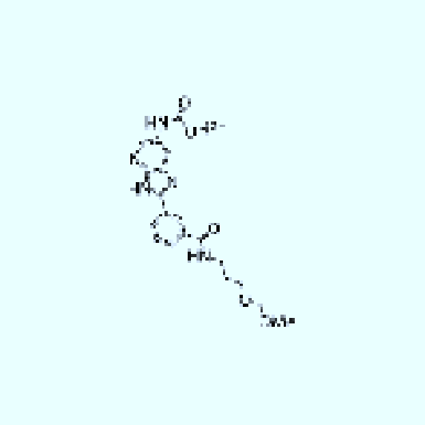 COCOCCCNC(=O)c1cccc(-c2nc3cc(NC(=O)OC(C)C)cnc3[nH]2)c1